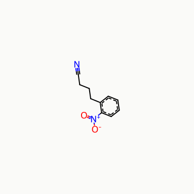 N#CCCCc1ccccc1[N+](=O)[O-]